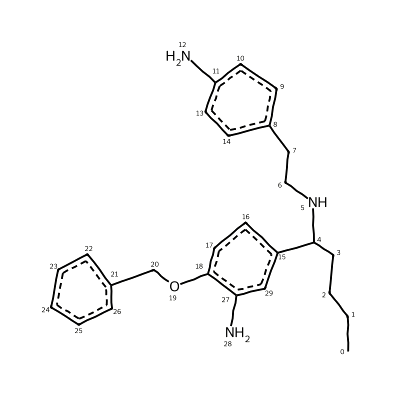 CCCCC(NCCc1ccc(N)cc1)c1ccc(OCc2ccccc2)c(N)c1